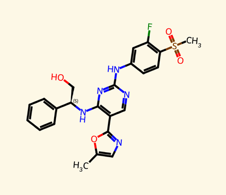 Cc1cnc(-c2cnc(Nc3ccc(S(C)(=O)=O)c(F)c3)nc2N[C@H](CO)c2ccccc2)o1